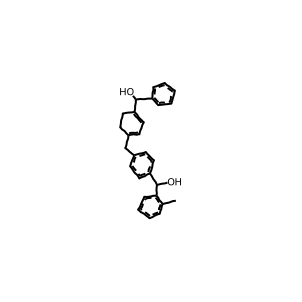 Cc1ccccc1C(O)c1ccc(CC2=CC=C(C(O)c3ccccc3)CC2)cc1